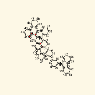 c1cc(-c2ccc(-c3ccc(N(c4ccccc4-c4ccc5c(c4)oc4ccccc45)c4ccccc4-c4cc5ccccc5c5ccccc45)cc3)cc2)cc(-n2c3ccccc3c3ccccc32)c1